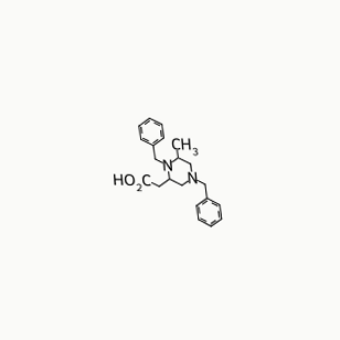 CC1CN(Cc2ccccc2)CC(CC(=O)O)N1Cc1ccccc1